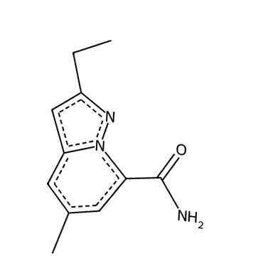 CCc1cc2cc(C)cc(C(N)=O)n2n1